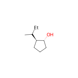 CCC(C)[C@@H]1CCC[C@H]1O